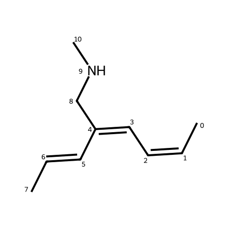 C\C=C/C=C(\C=C\C)CNC